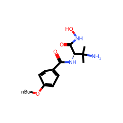 CCCCOc1ccc(C(=O)N[C@H](C(=O)NO)C(C)(C)N)cc1